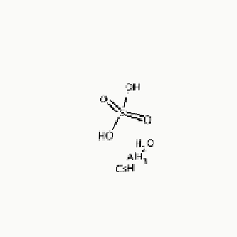 O.O=S(=O)(O)O.[AlH3].[CsH]